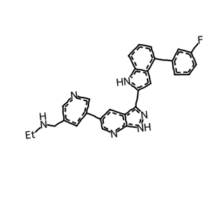 CCNCc1cncc(-c2cnc3[nH]nc(-c4cc5c(-c6cccc(F)c6)cccc5[nH]4)c3c2)c1